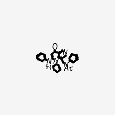 CC(=O)N(Cc1cncc2c(=O)cc(Nc3ccccc3)n(-c3ccccc3)c12)c1ccccc1